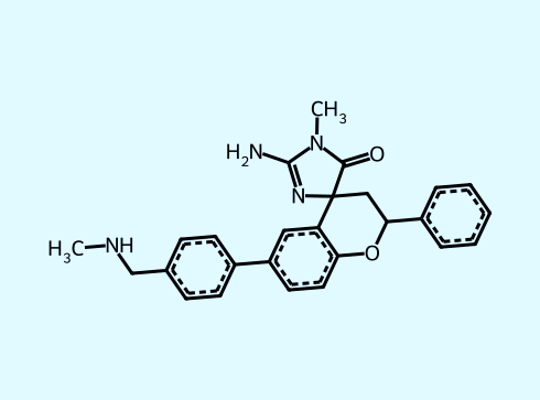 CNCc1ccc(-c2ccc3c(c2)C2(CC(c4ccccc4)O3)N=C(N)N(C)C2=O)cc1